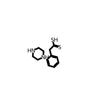 C1CNCCN1.S=C(S)Cc1ccccc1